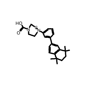 CC1(C)CCC(C)(C)c2cc(-c3cccc(N4CCN(C(=O)O)CC4)c3)ccc21